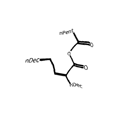 CCCCCCCCCCCCC(CCCCCCCCCC)C(=O)OC(=O)CCCCC